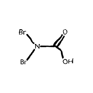 O=C(O)N(Br)Br